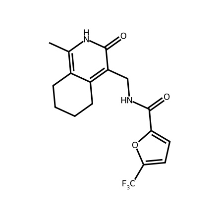 Cc1[nH]c(=O)c(CNC(=O)c2ccc(C(F)(F)F)o2)c2c1CCCC2